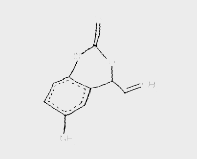 C=CC1OC(=O)Nc2ccc(N)cc21